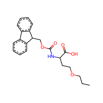 CCCOCCC(NC(=O)OCC1c2ccccc2-c2ccccc21)C(=O)O